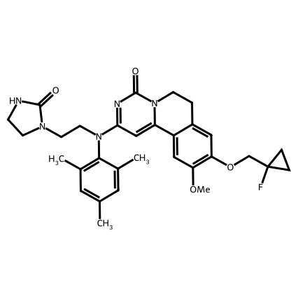 COc1cc2c(cc1OCC1(F)CC1)CCn1c-2cc(N(CCN2CCNC2=O)c2c(C)cc(C)cc2C)nc1=O